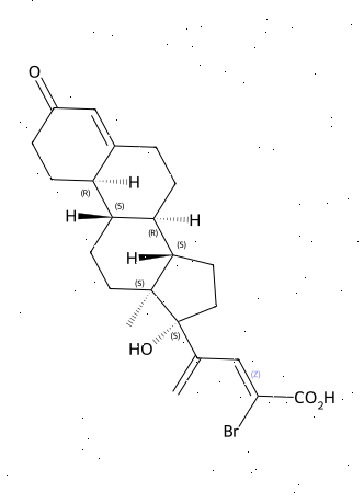 C=C(/C=C(\Br)C(=O)O)[C@]1(O)CC[C@H]2[C@@H]3CCC4=CC(=O)CC[C@@H]4[C@H]3CC[C@@]21C